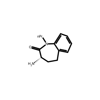 CCCN1C(=O)[C@@H](N)CCc2ccccc21